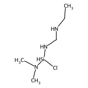 CCNCN[SiH](Cl)N(C)C